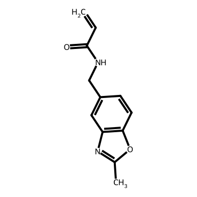 C=CC(=O)NCc1ccc2oc(C)nc2c1